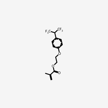 C=C(C)C(=O)OCCOc1ccc(C(C(F)(F)F)C(F)(F)F)cc1